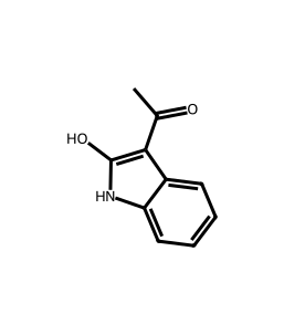 CC(=O)c1c(O)[nH]c2ccccc12